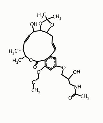 COCOc1cc(OCC(O)CNC(C)=O)cc2c1C(=O)O[C@@H](C)[C@H](C)/C=C\C(O)C1OC(C)(C)OC1C/C=C/2